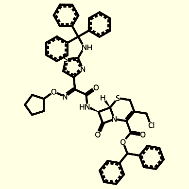 O=C(N[C@@H]1C(=O)N2C(C(=O)OC(c3ccccc3)c3ccccc3)=C(CCl)CS[C@@H]12)C(=NOC1CCCC1)c1csc(NC(c2ccccc2)(c2ccccc2)c2ccccc2)n1